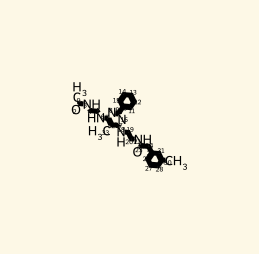 CC(=O)NCCNc1nc(-c2ccccc2)nc(NCCNC(=O)Cc2cccc(C)c2)c1C